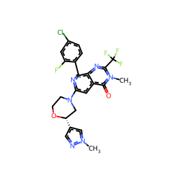 Cn1cc([C@H]2CN(c3cc4c(=O)n(C)c(C(F)(F)F)nc4c(-c4ccc(Cl)cc4F)n3)CCO2)cn1